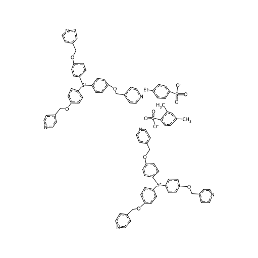 CCc1ccc(S(=O)(=O)[O-])cc1.Cc1ccc(S(=O)(=O)[O-])c(C)c1.c1cc(COc2ccc([S+](c3ccc(OCc4ccncc4)cc3)c3ccc(OCc4ccncc4)cc3)cc2)ccn1.c1cc(COc2ccc([S+](c3ccc(OCc4ccncc4)cc3)c3ccc(OCc4ccncc4)cc3)cc2)ccn1